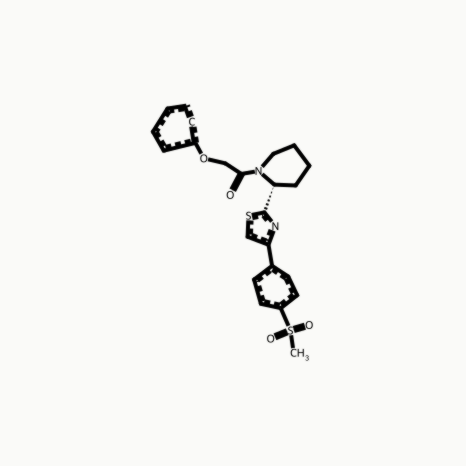 CS(=O)(=O)c1ccc(-c2csc([C@H]3CCCCN3C(=O)COc3ccccc3)n2)cc1